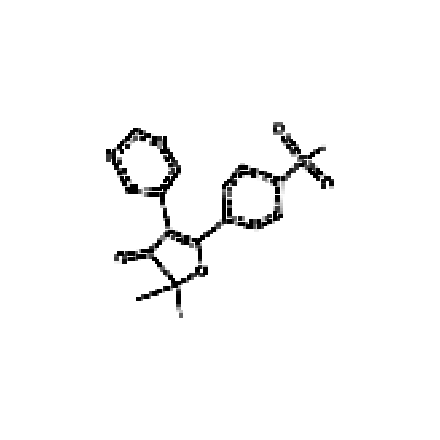 CC1(C)OC(c2ccc(S(C)(=O)=O)cc2)=C(c2cncnc2)C1=O